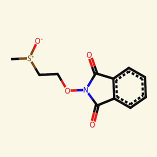 C[S+]([O-])CCON1C(=O)c2ccccc2C1=O